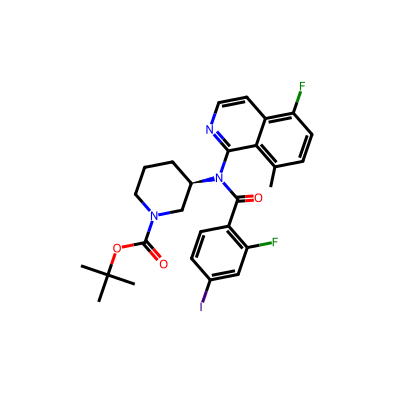 Cc1ccc(F)c2ccnc(N(C(=O)c3ccc(I)cc3F)[C@@H]3CCCN(C(=O)OC(C)(C)C)C3)c12